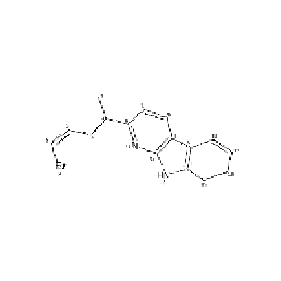 CC/C=C\CC(C)c1ccc2c3c([nH]c2n1)CCC=C3